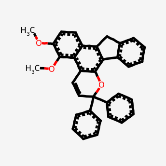 COc1ccc2c3c(c4c(c2c1OC)C=CC(c1ccccc1)(c1ccccc1)O4)-c1ccccc1C3